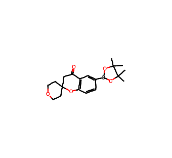 CC1(C)OB(c2ccc3c(c2)C(=O)CC2(CCOCC2)O3)OC1(C)C